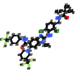 Cn1c(Nc2c(Cl)ccc(CNC(=O)C(C)(C)C)c2Cl)nc2cc(C(=O)NC3CCC(C(F)(F)F)CC3)c(N3CCCC(C(F)(F)F)C3)cc21